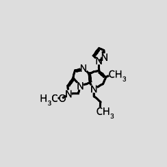 CCCN1CC(C)=C(n2cccn2)C2=C1N1CN(OC)C=C1C=N2